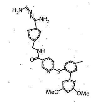 COc1cc(OC)cc(-c2cc(C)ccc2Sc2ccc(C(=O)NCc3ccc(/C(N)=N/N=C\N)cc3)cn2)c1